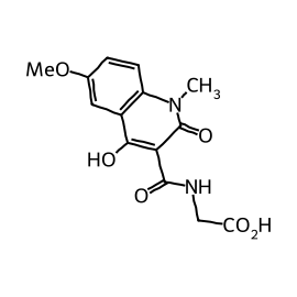 COc1ccc2c(c1)c(O)c(C(=O)NCC(=O)O)c(=O)n2C